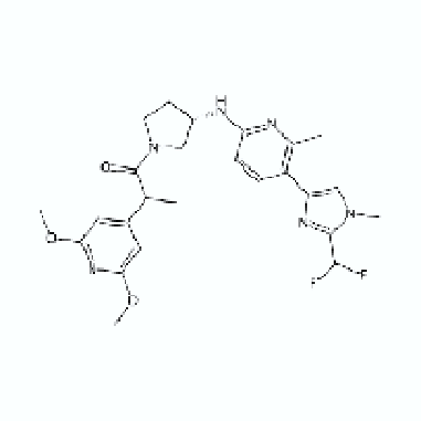 COc1cc(C(C)C(=O)N2CC[C@H](Nc3ccc(-c4cn(C)c(C(F)F)n4)c(C)n3)C2)cc(OC)n1